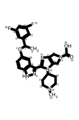 CC(Oc1ccc2[nH]nc(-c3nc4c(n3C3CCN(C)CC3)CN(C(=O)O)C4)c2c1)c1cc(F)cc(F)c1